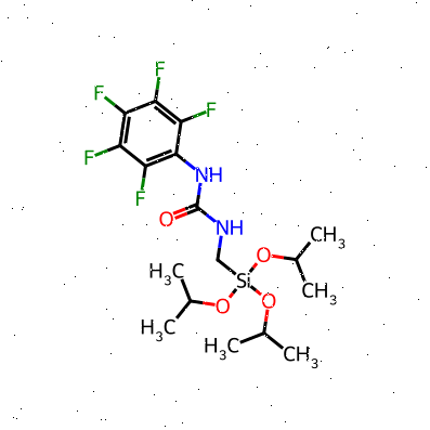 CC(C)O[Si](CNC(=O)Nc1c(F)c(F)c(F)c(F)c1F)(OC(C)C)OC(C)C